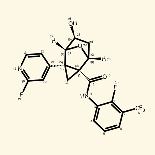 O=C(Nc1cccc(C(F)(F)F)c1F)[C@]12C[C@@]1(c1ccnc(F)c1)[C@H]1O[C@@H]2C[C@@H]1O